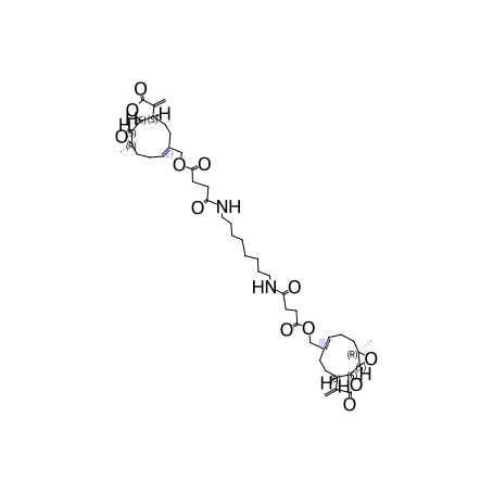 C=C1C(=O)O[C@H]2[C@H]1CC/C(COC(=O)CCC(=O)NCCCCCCCCNC(=O)CCC(=O)OC/C1=C/CC[C@@]3(C)O[C@H]3[C@H]3OC(=O)C(=C)[C@@H]3CC1)=C\CC[C@@]1(C)O[C@@H]21